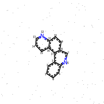 c1ccc2c(c1)ncc1ccc3ncccc3c12